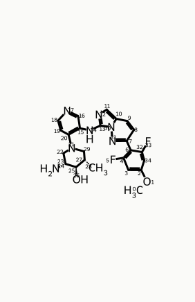 COc1cc(F)c(-c2ccc3cnc(Nc4cnccc4N4C[C@@H](N)[C@H](O)[C@@H](C)C4)n3n2)c(F)c1